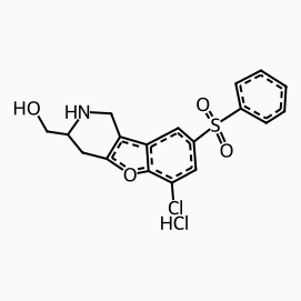 Cl.O=S(=O)(c1ccccc1)c1cc(Cl)c2oc3c(c2c1)CNC(CO)C3